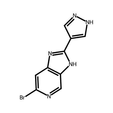 Brc1cc2nc(-c3cn[nH]c3)[nH]c2cn1